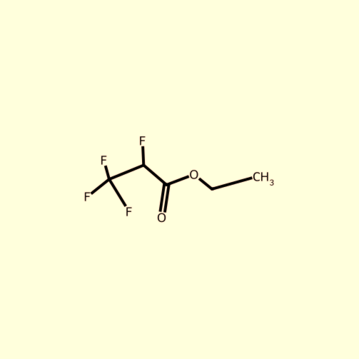 CCOC(=O)C(F)C(F)(F)F